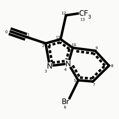 C#Cc1nn2c(Br)cccc2c1CC(F)(F)F